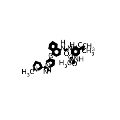 CN1CCC[C@@H](c2nnc3ccc(O[C@@H]4CC[C@H](NC(=O)Nc5cc(NS(C)(=O)=O)cc(C(C)(C)C)c5)c5ccccc54)cn23)C1